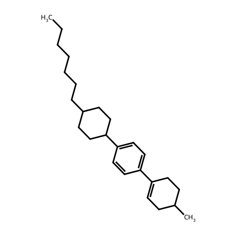 CCCCCCCC1CCC(c2ccc(C3=CCC(C)CC3)cc2)CC1